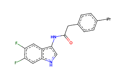 CC(C)c1ccc(CC(=O)Nc2c[nH]c3cc(F)c(F)cc23)cc1